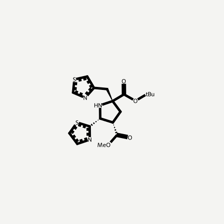 COC(=O)[C@H]1C[C@@](Cc2cscn2)(C(=O)OC(C)(C)C)N[C@H]1c1nccs1